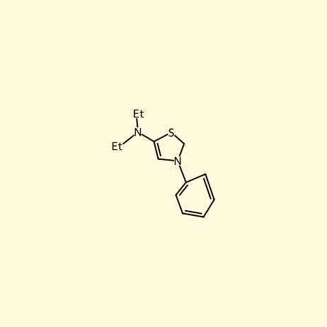 CCN(CC)C1=CN(c2ccccc2)CS1